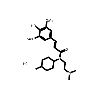 COc1cc(C=CC(=O)N(CCN(C)C)C2CCC(C)CC2)cc(OC)c1O.Cl